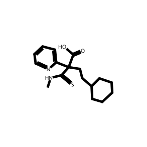 CNC(=S)C(CCC1CCCCC1)(C(=O)O)c1ccccn1